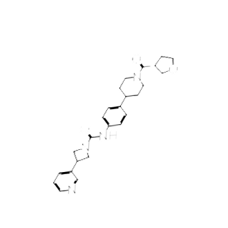 O=C(Nc1ccc(C2CCN(C(=O)[C@H]3CCOC3)CC2)cc1)N1CC(c2cccnc2)C1